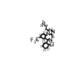 CN(C)CCc1nnc2n1-c1ccc(C(F)(F)F)cc1C(c1ccccc1Cl)=NC2